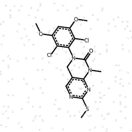 COc1cc(OC)c(Cl)c(N2Cc3cnc(SC)nc3N(C)C2=O)c1Cl